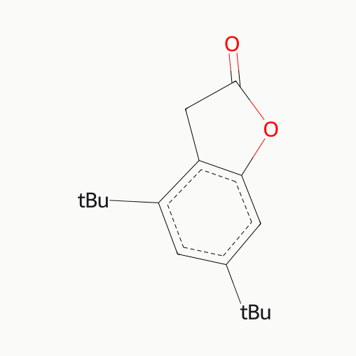 CC(C)(C)c1cc2c(c(C(C)(C)C)c1)CC(=O)O2